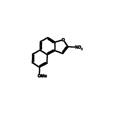 COc1ccc2ccc3oc([N+](=O)[O-])cc3c2c1